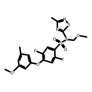 COCN(c1nc(C)ns1)S(=O)(=O)c1cc(F)c(Oc2cc(C)cc(OC)c2)cc1F